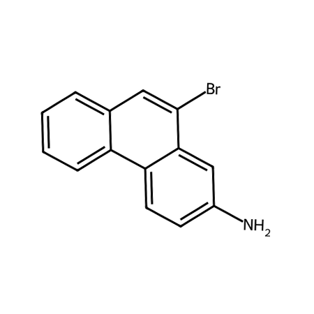 Nc1ccc2c(c1)c(Br)cc1ccccc12